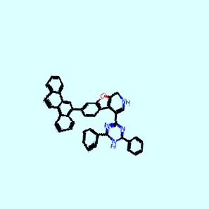 C1=C(C2=NC(c3ccccc3)NC(c3ccccc3)=N2)c2c(oc3cc(-c4cc5c6ccccc6ccc5c5ccccc45)ccc23)CN1